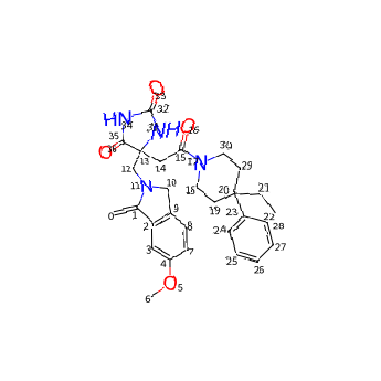 C=C1c2cc(OC)ccc2CN1CC1(CC(=O)N2CCC(CC)(c3ccccc3)CC2)NC(=O)NC1=O